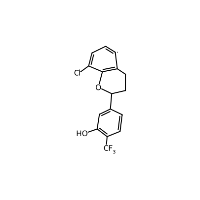 Oc1cc(C2CCc3[c]ccc(Cl)c3O2)ccc1C(F)(F)F